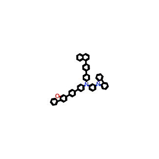 c1cc(N(c2ccc(-c3ccc(-c4ccc5c(c4)oc4ccccc45)cc3)cc2)c2ccc(-c3ccc(-c4cccc5ccccc45)cc3)cc2)cc(-n2c3ccccc3c3ccccc32)c1